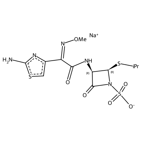 CON=C(C(=O)N[C@@H]1C(=O)N(S(=O)(=O)[O-])[C@@H]1SC(C)C)c1csc(N)n1.[Na+]